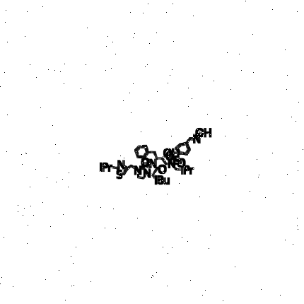 CC[C@H](C)[C@@H](C(=O)N[C@@H](Cc1ccccc1)[C@H](O)CN(CC(C)C)S(=O)(=O)c1ccc(/C=N/O)cc1)N1CCN(Cc2csc(C(C)C)n2)C1=O